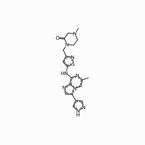 Cc1cn2c(-c3cn[nH]c3)cnc2c(Nc2cc(CN3CCN(C)CC3=O)ns2)n1